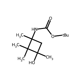 CC(C)(C)OC(=O)NC1(C)CC(C)(O)C1(C)C